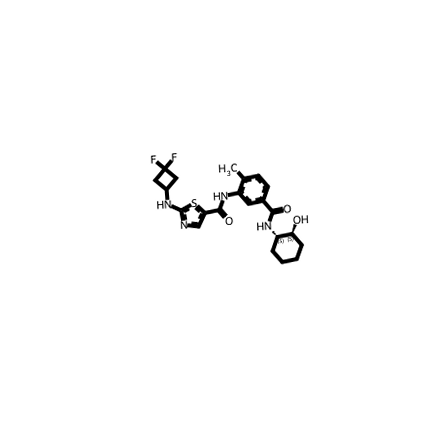 Cc1ccc(C(=O)N[C@H]2CCCC[C@@H]2O)cc1NC(=O)c1cnc(NC2CC(F)(F)C2)s1